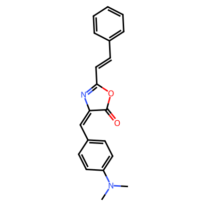 CN(C)c1ccc(C=C2N=C(/C=C/c3ccccc3)OC2=O)cc1